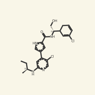 CC[C@H](C)Nc1cc(-c2c[nH]c(C(=O)N[C@H](CO)C3C=C(Cl)C=CC3)c2)c(Cl)cn1